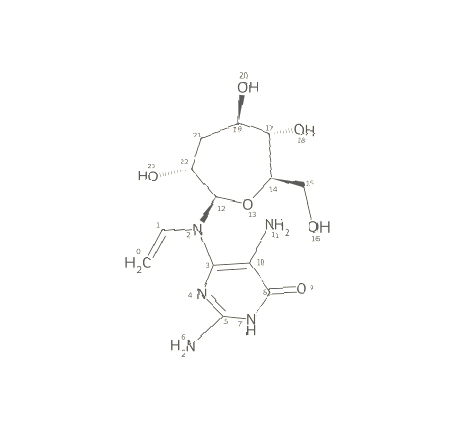 C=CN(c1nc(N)[nH]c(=O)c1N)[C@@H]1O[C@H](CO)[C@@H](O)[C@H](O)C[C@H]1O